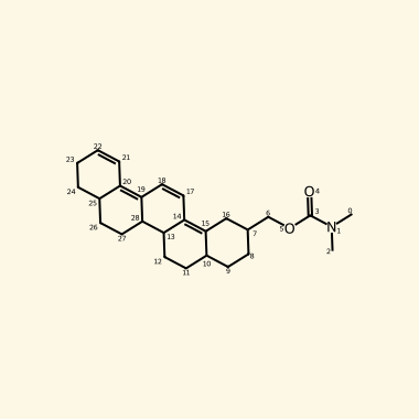 CN(C)C(=O)OCC1CCC2CCC3C(=C2C1)C=CC1=C2C=CCCC2CCC13